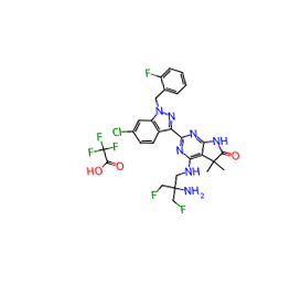 CC1(C)C(=O)Nc2nc(-c3nn(Cc4ccccc4F)c4cc(Cl)ccc34)nc(NCC(N)(CF)CF)c21.O=C(O)C(F)(F)F